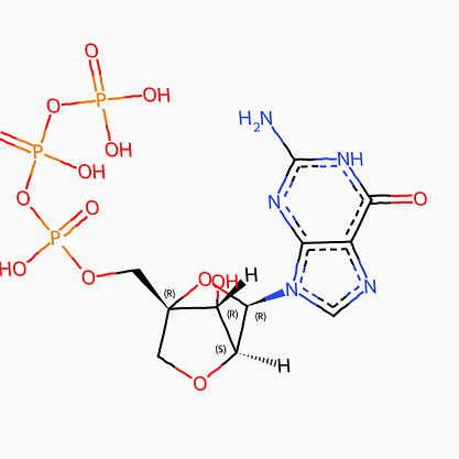 Nc1nc2c(ncn2[C@@H]2O[C@@]3(COP(=O)(O)OP(=O)(O)OP(=O)(O)O)CO[C@H]2[C@H]3O)c(=O)[nH]1